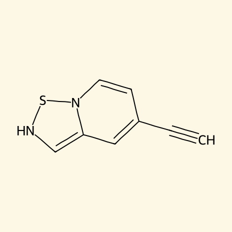 C#CC1=CC2=CNSN2C=C1